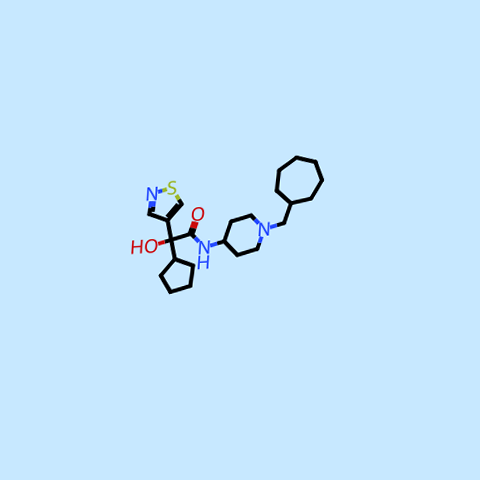 O=C(NC1CCN(CC2CCCCCC2)CC1)C(O)(c1cnsc1)C1CCCC1